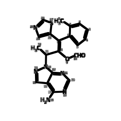 Cc1ccccc1/C(=C(\OC=O)C(C)n1ncc2c(N)ncnc21)c1cncs1